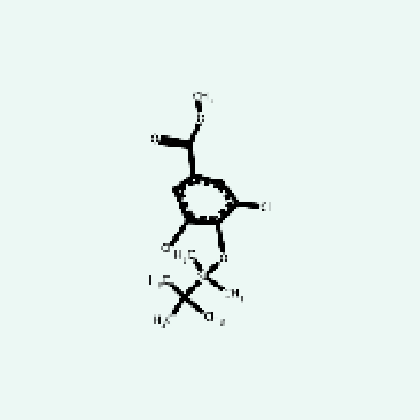 COC(=O)c1cc(Cl)c(O[Si](C)(C)C(C)(C)C)c(Cl)c1